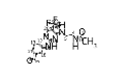 CC(=O)NCCNc1nc(Nc2cccc(C=O)c2)ncc1C(F)(F)F